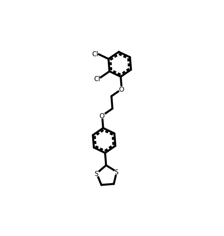 Clc1cccc(OCCOc2ccc(C3SCCS3)cc2)c1Cl